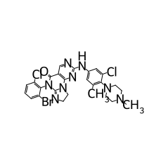 Cc1cc(Nc2ncc3c(n2)N2CCN=C2N(c2c(Cl)cccc2Br)C3=O)cc(Cl)c1N1CCN(C)CC1